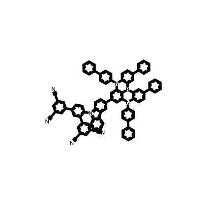 N#Cc1cc(C#N)cc(-c2ccc(-n3c4ccccc4c4cc(-c5cc6c7c(c5)N(c5ccc(-c8ccccc8)cc5)c5ccc(-c8ccccc8)cc5B7c5cc(-c7ccccc7)ccc5N6c5ccc(-c6ccccc6)cc5)ccc43)c(-c3cc(C#N)cc(C#N)c3)c2)c1